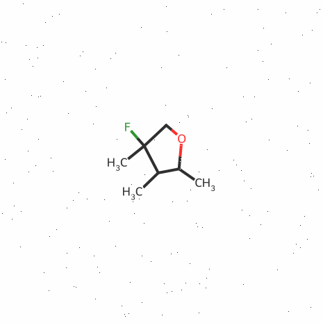 CC1OCC(C)(F)C1C